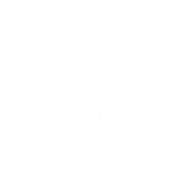 Cc1cc(C)cc(-n2c(-c3ccc(S(C)(=O)=O)c(F)c3)coc2=O)c1